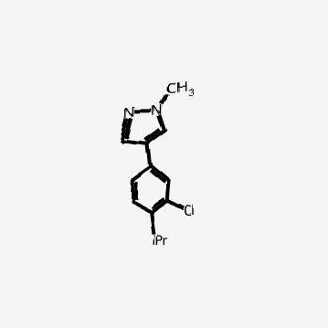 CC(C)c1ccc(-c2cnn(C)c2)cc1Cl